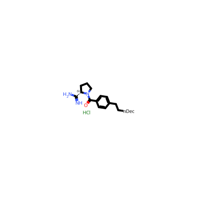 CCCCCCCCCCCCc1ccc(C(=O)N2CCC[C@H]2C(=N)N)cc1.Cl